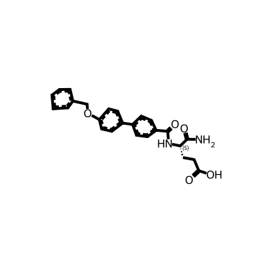 NC(=O)[C@H](CCC(=O)O)NC(=O)c1ccc(-c2ccc(OCc3ccccc3)cc2)cc1